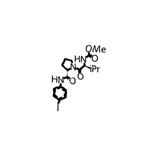 COC(=O)N[C@H](C(=O)N1CCC[C@H]1C(=O)Nc1ccc(I)cc1)C(C)C